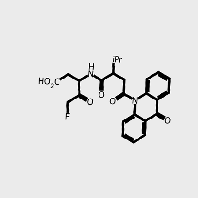 CC(C)C(CC(=O)n1c2ccccc2c(=O)c2ccccc21)C(=O)NC(CC(=O)O)C(=O)CF